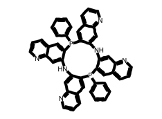 c1ccc(P2c3cc4cccnc4cc3Nc3cc4ncccc4cc3P(c3ccccc3)c3cc4cccnc4cc3Nc3cc4ncccc4cc32)cc1